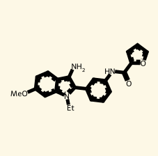 CCn1c(-c2cccc(NC(=O)c3ccco3)c2)c(N)c2ccc(OC)cc21